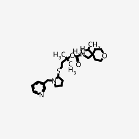 CC(C)C1(CNC(=O)OC(C)(C)CCSC2CCCN2Cc2cccnc2)CCOCC1